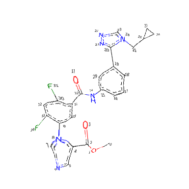 COC(=O)c1cncn1-c1cc(C(=O)Nc2cccc(-c3nncn3CC3CC3)c2)c(F)cc1F